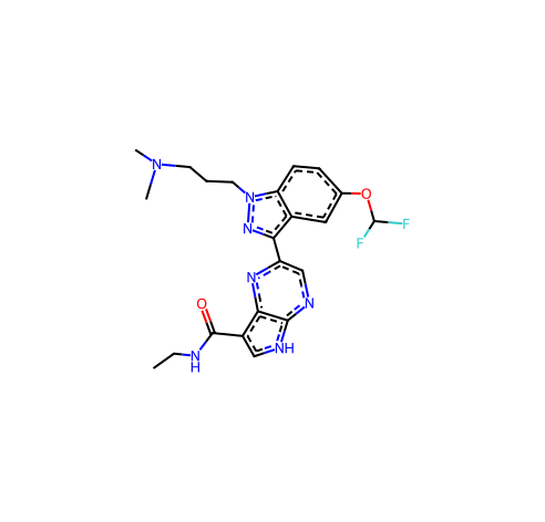 CCNC(=O)c1c[nH]c2ncc(-c3nn(CCCN(C)C)c4ccc(OC(F)F)cc34)nc12